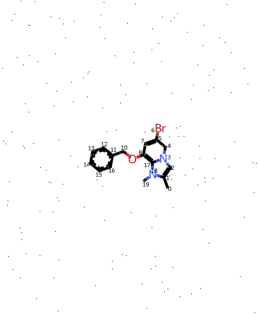 CC1=CN2CC(Br)=CC(OCc3ccccc3)=C2N1C